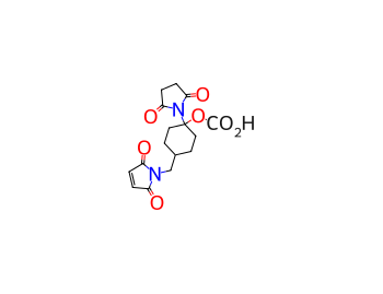 O=C(O)OC1(N2C(=O)CCC2=O)CCC(CN2C(=O)C=CC2=O)CC1